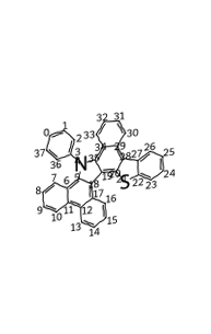 c1ccc(-n2c3c4ccccc4c4ccccc4c3c3c4sc5ccccc5c4c4ccccc4c32)cc1